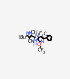 Cn1nc(C(C)(C)C)c(C#N)c1-c1nc2cc(-c3ccccc3C(F)(F)F)nc(OCC(F)(F)F)c2[nH]1